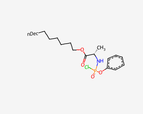 CCCCCCCCCCCCCCCCOC(=O)[C@H](C)NP(=O)(Cl)Oc1ccccc1